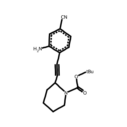 CC(C)(C)OC(=O)N1CCCCC1C#Cc1ccc(C#N)cc1N